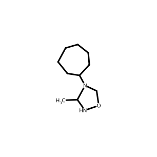 CC1NOCN1C1CCCCCC1